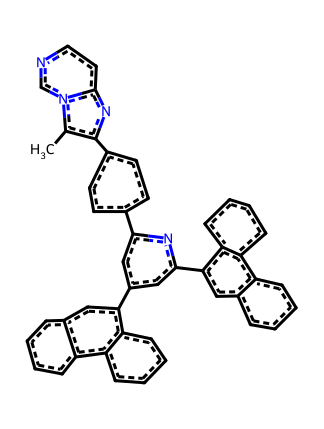 Cc1c(-c2ccc(-c3cc(-c4cc5ccccc5c5ccccc45)cc(-c4cc5ccccc5c5ccccc45)n3)cc2)nc2ccncn12